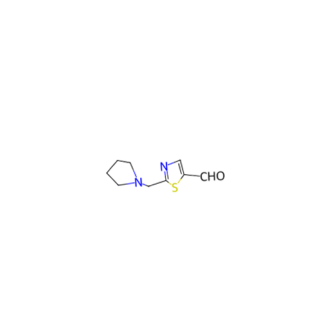 O=Cc1cnc(CN2CCCC2)s1